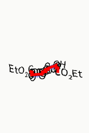 CCOC(=O)CCC1(C)OC(=O)C(/C=C/C=C/C=C2C(=O)OC3(CCC4(CC3)OC(=O)C(=C/C=C/C=C/C3=C(O)OC(C)(CCC(=O)OCC)OC3=O)C(=O)O4)OC2=O)=C(O)O1